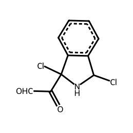 O=CC(=O)C1(Cl)NC(Cl)c2ccccc21